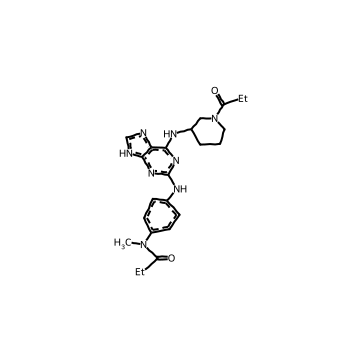 CCC(=O)N1CCCC(Nc2nc(Nc3ccc(N(C)C(=O)CC)cc3)nc3[nH]cnc23)C1